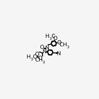 COc1ccc(Cn2c(=O)n(C3COC(C)(C)OC3)c3ccc(C#N)cc32)cc1OC